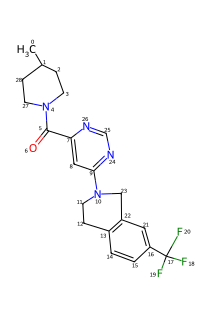 CC1CCN(C(=O)c2cc(N3CCc4ccc(C(F)(F)F)cc4C3)ncn2)CC1